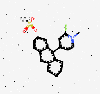 C[n+]1ccc(-c2c3ccccc3cc3ccccc23)cc1F.O=S(=O)([O-])C(F)(F)F